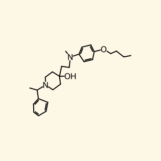 CCCCOc1ccc(N(C)CCC2(O)CCN(C(C)c3ccccc3)CC2)cc1